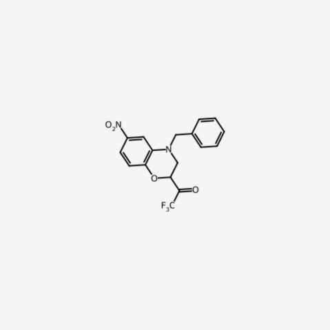 O=C(C1CN(Cc2ccccc2)c2cc([N+](=O)[O-])ccc2O1)C(F)(F)F